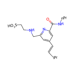 CCCNC(=O)c1cc(/C=C/C(C)C)cc(CNCCS(=O)(=O)O)n1